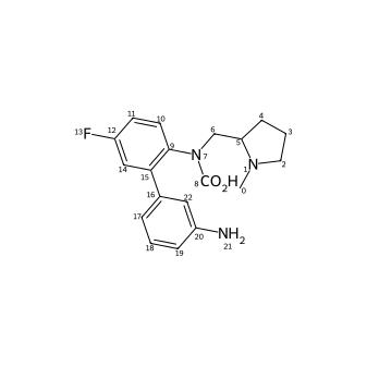 CN1CCCC1CN(C(=O)O)c1ccc(F)cc1-c1cccc(N)c1